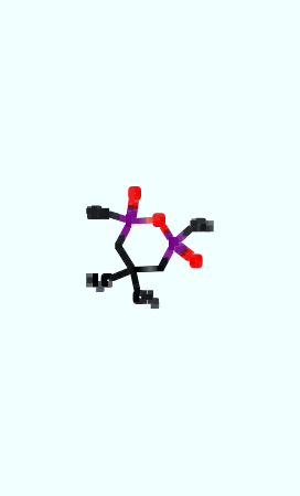 CC1(C)CP(=O)(C(C)(C)C)OP(=O)(C(C)(C)C)C1